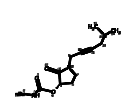 CCCCNC(=O)O[C@H]1CCN(CC#CCN(C)C)C1=O